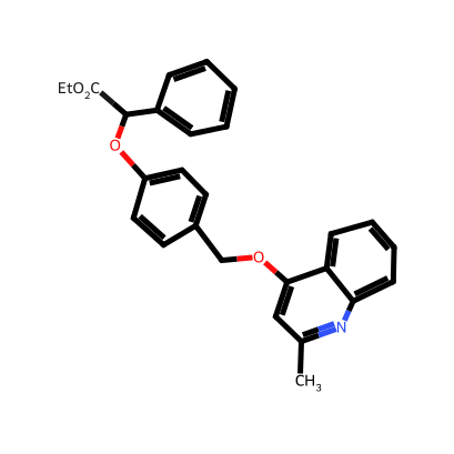 CCOC(=O)C(Oc1ccc(COc2cc(C)nc3ccccc23)cc1)c1ccccc1